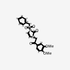 COc1ccc(C(=O)Cn2ccn(S(=O)(=O)Cc3ccccc3)c2=O)cc1OC